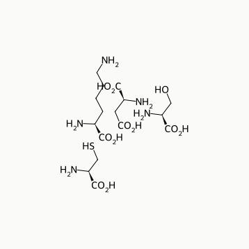 NCCCC[C@H](N)C(=O)O.N[C@@H](CC(=O)O)C(=O)O.N[C@@H](CO)C(=O)O.N[C@@H](CS)C(=O)O